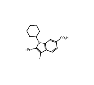 CCCc1c(C)c2ccc(C(=O)O)cc2n1C1CCCCC1